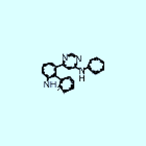 Nc1cccc(-c2cc(Nc3ccccc3)ncn2)c1-c1ccccc1